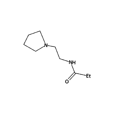 [CH2]CC(=O)NCCN1CCCC1